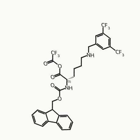 O=C(N[C@@H](CCCCNCc1cc(C(F)(F)F)cc(C(F)(F)F)c1)C(=O)OC(=O)C(F)(F)F)OCC1c2ccccc2-c2ccccc21